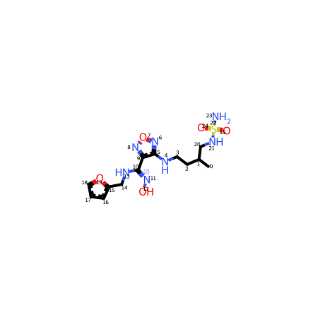 CC(CCNc1nonc1/C(=N/O)NCc1ccco1)CNS(N)(=O)=O